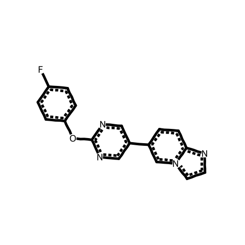 Fc1ccc(Oc2ncc(-c3ccc4nccn4c3)cn2)cc1